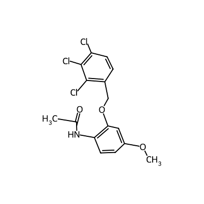 COc1ccc(NC(C)=O)c(OCc2ccc(Cl)c(Cl)c2Cl)c1